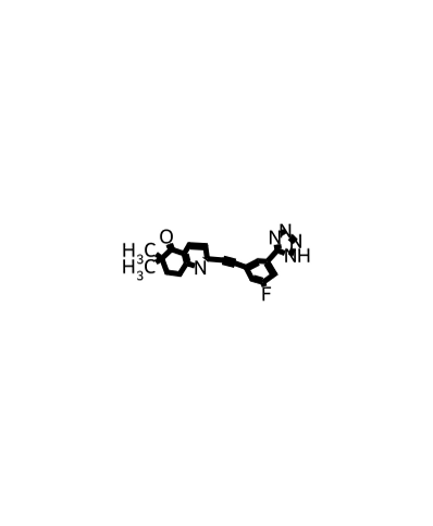 CC1(C)CCc2nc(C#Cc3cc(F)cc(-c4nnn[nH]4)c3)ccc2C1=O